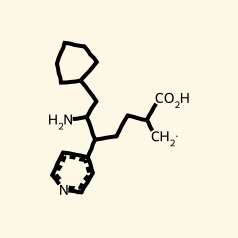 [CH2]C(CCC(c1ccncc1)C(N)CC1CCCCC1)C(=O)O